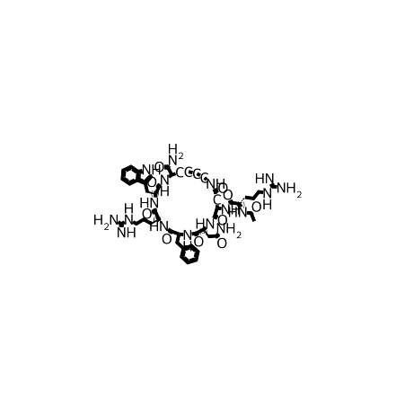 CC(=O)N[C@@H](CCCNC(=N)N)C(=O)NC1CC(=O)NCCCCC(C(N)=O)NC(=O)[C@H](Cc2c[nH]c3ccccc23)NC(=O)[C@H](CCCNC(=N)N)NC(=O)C(Cc2ccccc2)NC(=O)[C@H](CC(N)=O)NC1=O